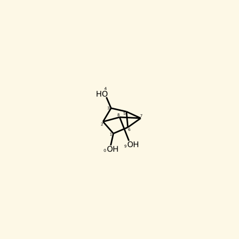 OC1C2C(O)C3C1C3C2O